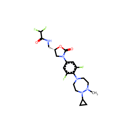 CN1CCN(c2c(F)cc(N3C[C@H](CNC(=O)C(F)F)OC3=O)cc2F)CCN1C1CC1